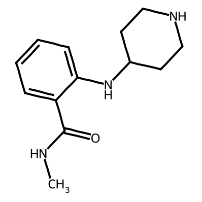 CNC(=O)c1ccccc1NC1CCNCC1